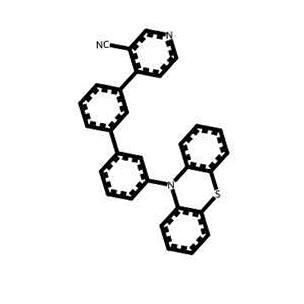 N#Cc1cnccc1-c1cccc(-c2cccc(N3c4ccccc4Sc4ccccc43)c2)c1